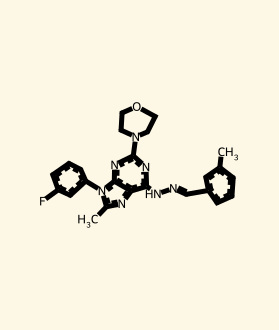 Cc1cccc(C=NNc2nc(N3CCOCC3)nc3c2nc(C)n3-c2cccc(F)c2)c1